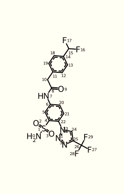 NS(=O)(=O)c1cc(NC(=O)Cc2ccc(C(F)F)cc2)ccc1-n1cc(C(F)(F)F)nn1